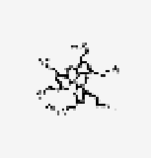 C=CCc1cc(CC=C)c(F)c(B(c2c(F)c(CC=C)cc(CC=C)c2F)c2c(F)c(CC=C)cc(CC=C)c2F)c1F